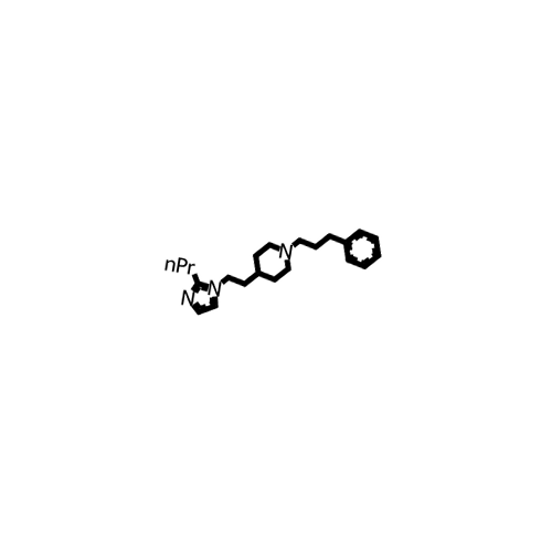 CCCc1nccn1CCC1CCN(CCCc2ccccc2)CC1